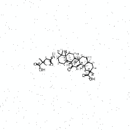 CC(C)(CC(=O)N[C@H]1CC[C@]2(C)[C@H]3C(=O)C=C4[C@@H]5C[C@@](C)(C(=O)O)CC[C@]5(C)CC[C@@]4(C)[C@]3(C)CC[C@H]2C1(C)C)C(=O)O